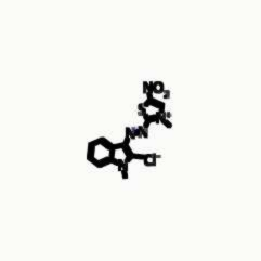 Cc1c(/N=N/c2sc([N+](=O)[O-])c[n+]2C)c2ccccc2n1C.[Cl-]